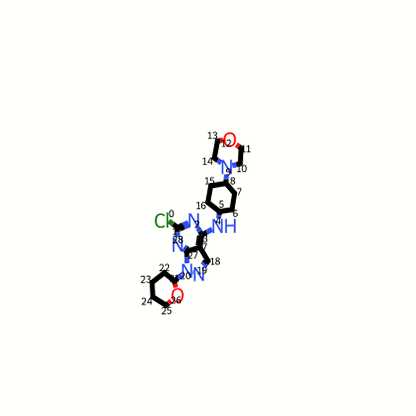 Clc1nc(NC2CCC(N3CCOCC3)CC2)c2cnn(C3CCCCO3)c2n1